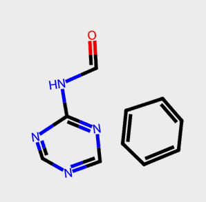 O=CNc1ncncn1.c1ccccc1